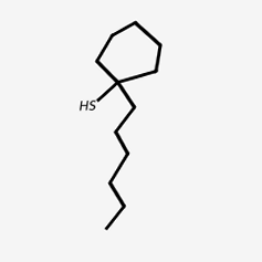 CCCCCCC1(S)CCCCC1